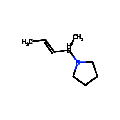 CC=C[SiH](C)N1CCCC1